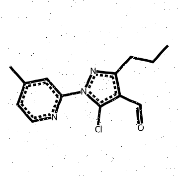 CCCc1nn(-c2cc(C)ccn2)c(Cl)c1C=O